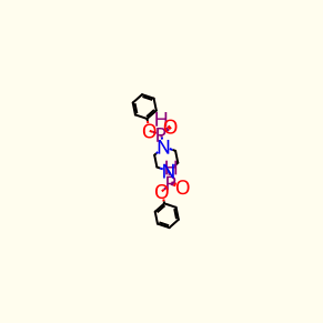 O=[PH](Oc1ccccc1)N1CCN([PH](=O)Oc2ccccc2)CC1